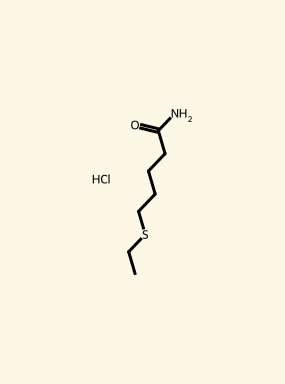 CCSCCCCC(N)=O.Cl